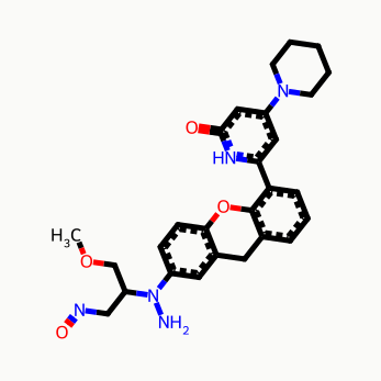 COCC(CN=O)N(N)c1ccc2c(c1)Cc1cccc(-c3cc(N4CCCCC4)cc(=O)[nH]3)c1O2